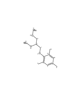 Cc1cc(C)c(OCC(COC(C)(C)C)OC(C)(C)C)c(C)c1